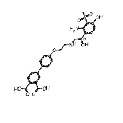 CS(=O)(=O)c1c(O)ccc([C@@H](O)CNCCOc2ccc(-c3ccc(C(=O)O)c(C(=O)O)c3)cc2)c1N